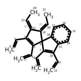 C=CC1=C(C=C)C2(C(C=C)=C(C=C)c3ccccc32)C(=C/C)/C1=C\C